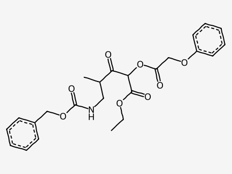 CCOC(=O)C(OC(=O)COc1ccccc1)C(=O)C(C)CNC(=O)OCc1ccccc1